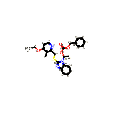 Cc1c(OCC(F)(F)F)ccnc1CSc1nc2ccccc2n1C(C)OC(=O)OCc1ccccc1